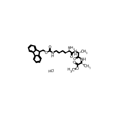 COC(=O)[C@@H](C)NC(=O)[C@@H](C)NC(=O)[C@@H](N)CCCCNC(=O)OCC1c2ccccc2-c2ccccc21.Cl